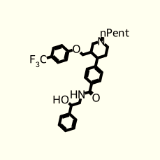 CCCCCN1CCC(c2ccc(C(=O)NCC(O)c3ccccc3)cc2)C(COc2ccc(C(F)(F)F)cc2)C1